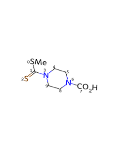 CSC(=S)N1CCN(C(=O)O)CC1